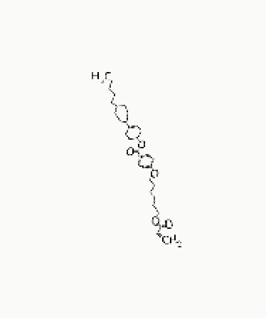 C=CC(=O)OCCCCCCOc1ccc(C(=O)OC2CC=C(C3CCC(CCCCC)CC3)CC2)cc1